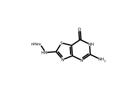 CCCCCCNc1nc2nc(N)[nH]c(=O)c2s1